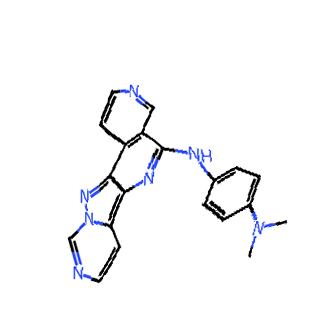 CN(C)c1ccc(Nc2nc3c(nn4cnccc34)c3ccncc23)cc1